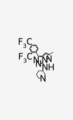 Cc1cc2c(-c3ccc(C(F)(F)F)cc3C(F)(F)F)nnc(N[C@@H]3CCCN(C)C3)n2n1